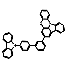 c1cc(-c2ccc(-n3c4ccccc4c4ccccc43)cc2)cc(-c2cc3c4c(c2)c2ccccc2n4-c2ccccc2O3)c1